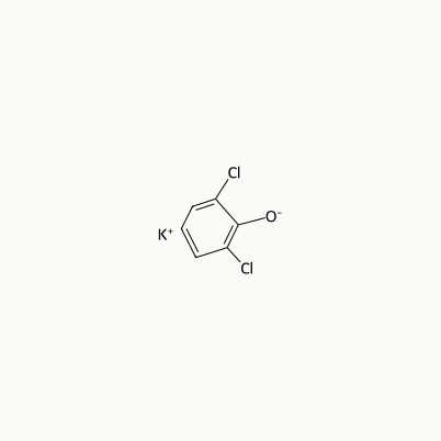 [K+].[O-]c1c(Cl)cccc1Cl